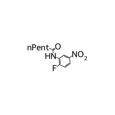 CCCCCC(=O)Nc1cc([N+](=O)[O-])ccc1F